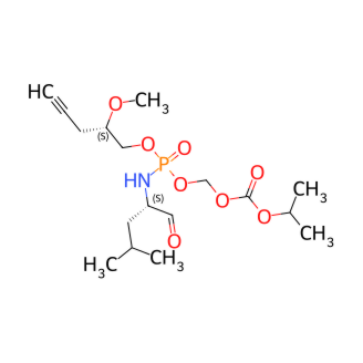 C#CC[C@@H](COP(=O)(N[C@H](C=O)CC(C)C)OCOC(=O)OC(C)C)OC